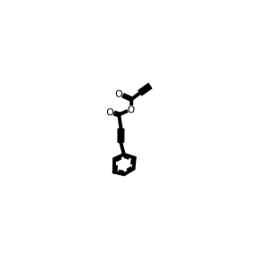 C#CC(=O)OC(=O)C#Cc1ccccc1